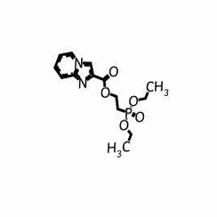 CCOP(=O)(CCOC(=O)c1cn2ccccc2n1)OCC